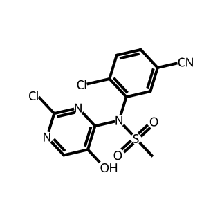 CS(=O)(=O)N(c1cc(C#N)ccc1Cl)c1nc(Cl)ncc1O